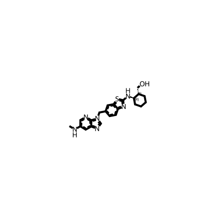 CNc1cnc2c(c1)ncn2Cc1ccc2nc(N[C@@H]3CCCC[C@H]3CO)sc2c1